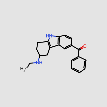 CCNC1CCc2[nH]c3ccc(C(=O)c4ccccc4)cc3c2C1